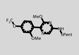 CCCCCNc1cnc(-c2ccc(OC(F)(F)F)cc2OC)c(OC)n1